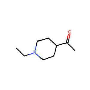 [CH2]CN1CCC(C(C)=O)CC1